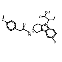 CCC(C(=O)O)n1c2c(c3cc(F)ccc31)C[C@H](NC(=O)Cc1ccc(OC)cc1)CC2